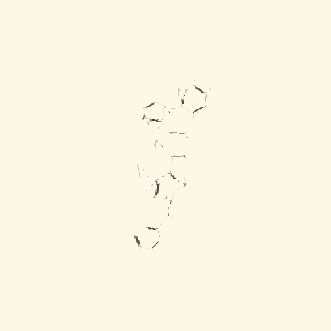 OC(N[C@H]1COc2cccnc2-n2ccnc21)c1nn(Cc2ccccc2)cc1F